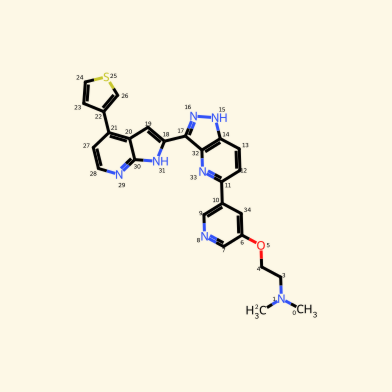 CN(C)CCOc1cncc(-c2ccc3[nH]nc(-c4cc5c(-c6ccsc6)ccnc5[nH]4)c3n2)c1